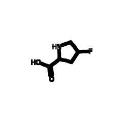 O=C(O)C1CC(F)CN1